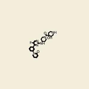 O=C(N1CCC(Nc2ncc(F)c(-c3cccc(-n4ccccc4=O)c3)n2)CC1)C1(O)CCNCC1